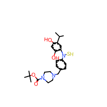 CC(C)c1cc(N(S)c2ccc(CN3CCN(C(=O)OC(C)(C)C)CC3)cc2)c(O)cc1O